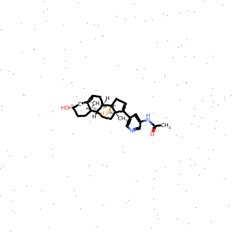 CC(=O)Nc1cncc(C2=CC[C@@]3(P)[C@@H]4CC=C5C[C@@H](O)CC[C@]5(C)[C@H]4CC[C@]23C)c1